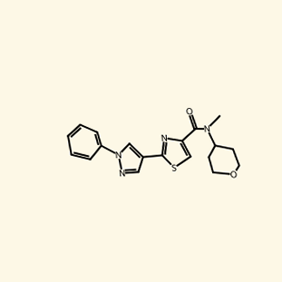 CN(C(=O)c1csc(-c2cnn(-c3ccccc3)c2)n1)C1CCOCC1